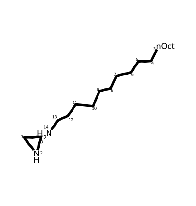 C1CN1.CCCCCCCCCCCCCCCCCCN